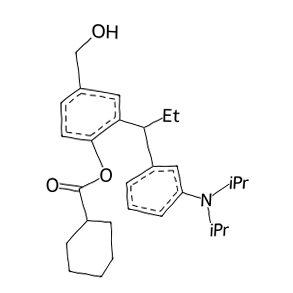 CCC(c1cccc(N(C(C)C)C(C)C)c1)c1cc(CO)ccc1OC(=O)C1CCCCC1